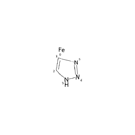 [Fe].c1c[nH]nn1